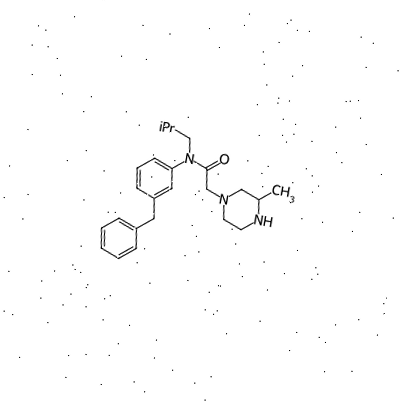 CC(C)CN(C(=O)CN1CCNC(C)C1)c1cccc(Cc2ccccc2)c1